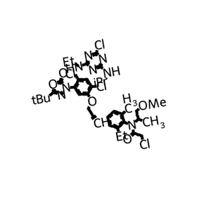 C#CCOc1cc(-n2nc(C(C)(C)C)oc2=O)c(Cl)cc1Cl.CCNc1nc(Cl)nc(NC(C)C)n1.CCc1cccc(C)c1N(C(=O)CCl)C(C)COC